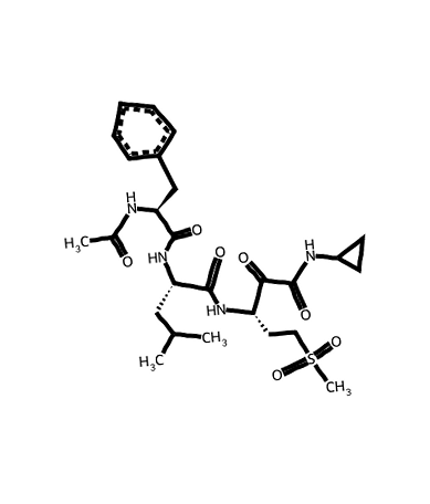 CC(=O)N[C@@H](Cc1ccccc1)C(=O)N[C@@H](CC(C)C)C(=O)N[C@@H](CCS(C)(=O)=O)C(=O)C(=O)NC1CC1